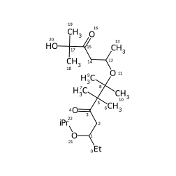 CCC(CC(=O)C(C)(C)C(C)(C)OC(C)CC(=O)C(C)(C)O)OC(C)C